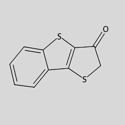 O=C1CSc2c1sc1ccccc21